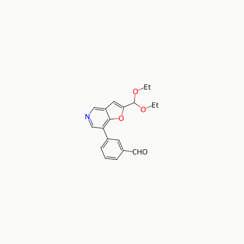 CCOC(OCC)c1cc2cncc(-c3cccc(C=O)c3)c2o1